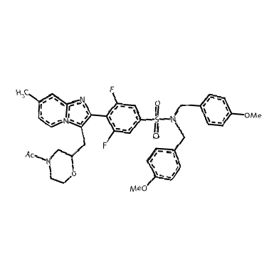 COc1ccc(CN(Cc2ccc(OC)cc2)S(=O)(=O)c2cc(F)c(-c3nc4cc(C)ccn4c3CC3CN(C(C)=O)CCO3)c(F)c2)cc1